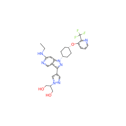 CCNc1cc2c(cn1)c(-c1cnn(C(CO)CO)c1)nn2[C@H]1CC[C@@H](Oc2cccnc2C(F)(F)F)CC1